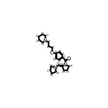 O=C(c1ccc(OCCCN2CCCCC2)cc1)N1CCC/C1=C\N1CCCC1